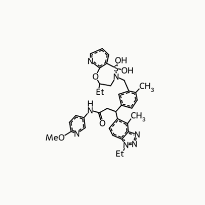 CCC1CN(Cc2cc(C(CC(=O)Nc3ccc(OC)nc3)c3ccc4c(nnn4CC)c3C)ccc2C)S(O)(O)c2cccnc2O1